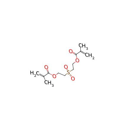 C=C(C)C(=O)OCCS(=O)(=O)CCOC(=O)C(=C)C